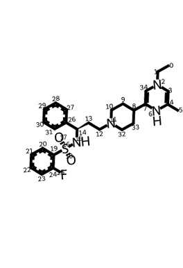 CCN1C=C(C)NC(C2CCN(CC[C@@H](NS(=O)(=O)c3ccccc3F)c3ccccc3)CC2)=C1